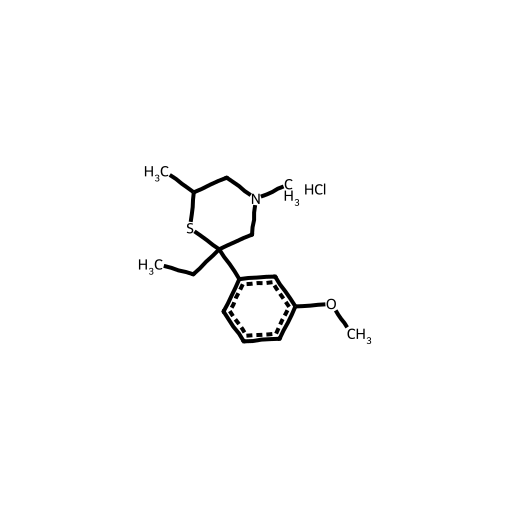 CCC1(c2cccc(OC)c2)CN(C)CC(C)S1.Cl